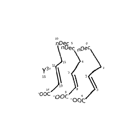 CCCCCCCCCCCC=CC(=O)[O-].CCCCCCCCCCCC=CC(=O)[O-].CCCCCCCCCCCC=CC(=O)[O-].[Y+3]